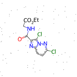 CCOC(=O)CNC(=O)c1nc2ccc(Cl)nn2c1Cl